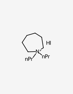 CCC[N+]1(CCC)CCCCCC1.I